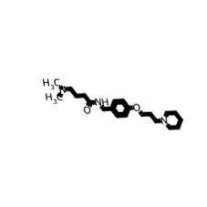 CN(C)CCCC(=O)NCc1ccc(OCCCN2CCCCC2)cc1